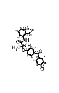 CC(C)(Oc1ccc(C(=O)c2ccc(Cl)cc2)cc1)C(=O)Nc1cccc2[nH]ncc12